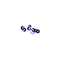 N[C@@H]1c2ccccc2CC12CCN(c1ncc(Sc3ccnc4cccnc34)c3nccn13)CC2